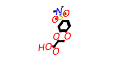 CN(C)S(=O)(=O)c1ccc2c(c1)OC(C(=O)O)CO2